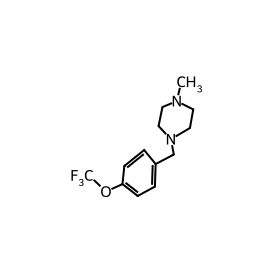 CN1CCN(Cc2ccc(OC(F)(F)F)cc2)CC1